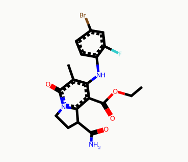 CCOC(=O)c1c(Nc2ccc(Br)cc2F)c(C)c(=O)n2c1C(C(N)=O)CC2